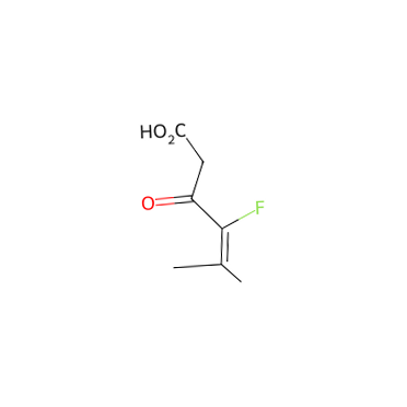 CC(C)=C(F)C(=O)CC(=O)O